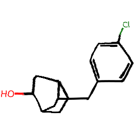 OC1CC2CCC1CC2Cc1ccc(Cl)cc1